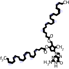 C=C1C(COC(=O)CC/C=C\C/C=C\C/C=C\C/C=C\C/C=C\C/C=C\CC)C(OC(=O)CC/C=C\C/C=C\C/C=C\C/C=C\C/C=C\C/C=C\CC)CC1n1cnc2c(=O)[nH]c(N)nc21